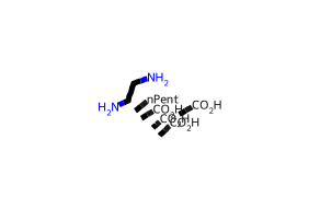 CC(=O)O.CC(=O)O.CC(=O)O.CC(=O)O.CCCCCC.NCCN